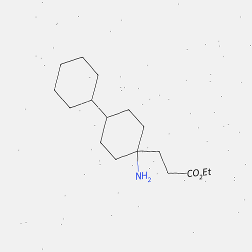 CCOC(=O)CCC1(N)CCC(C2CCCCC2)CC1